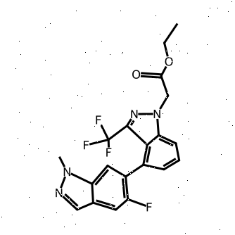 CCOC(=O)Cn1nc(C(F)(F)F)c2c(-c3cc4c(cnn4C)cc3F)cccc21